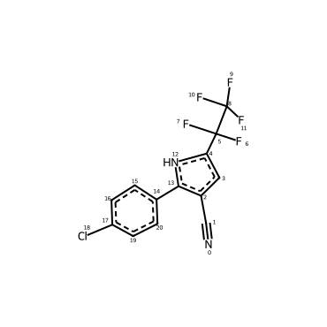 N#Cc1cc(C(F)(F)C(F)(F)F)[nH]c1-c1ccc(Cl)cc1